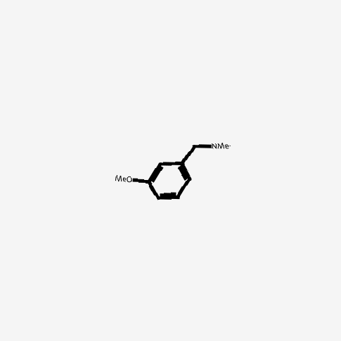 C[N]Cc1cccc(OC)c1